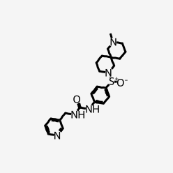 CN1CCCC2(CCCN([S+]([O-])c3ccc(NC(=O)NCc4cccnc4)cc3)C2)C1